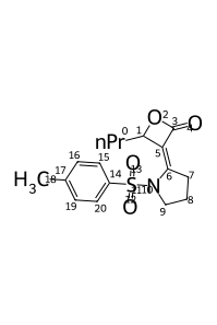 CCCC1OC(=O)C1=C1CCCN1S(=O)(=O)c1ccc(C)cc1